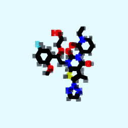 CCN1CCCC(n2c(=O)c3c(C)c(-n4nccn4)sc3n(C[C@H](OCCO)c3cc(F)ccc3OC)c2=O)C1=O